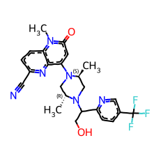 C[C@@H]1CN(c2cc(=O)n(C)c3ccc(C#N)nc23)[C@@H](C)CN1C(CO)c1ccc(C(F)(F)F)cn1